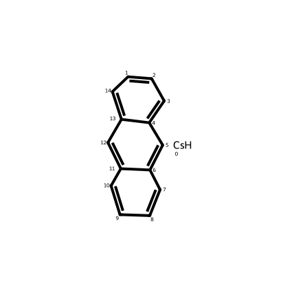 [CsH].c1ccc2cc3ccccc3cc2c1